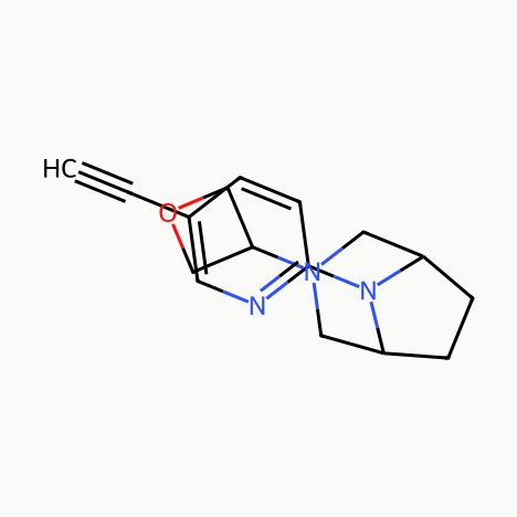 C#Cc1ccc(N2C3CCC2CN(C2COC2)C3)nc1